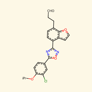 CC(C)Oc1ccc(-c2nc(-c3ccc(CCC=O)c4occc34)no2)cc1Cl